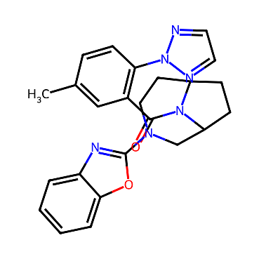 Cc1ccc(-n2nccn2)c(C(=O)N2C3CCC2CN(c2nc4ccccc4o2)CC3)c1